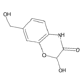 O=C1Nc2ccc(CO)cc2OC1O